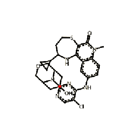 Cn1c(=O)c2c(c3cc(Nc4nc(N5C6COCC5CC(O)C6)ncc4Cl)ccc31)NC(C1CC1)CCS2